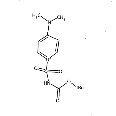 CN(C)c1cc[n+](S(=O)(=O)NC(=O)OC(C)(C)C)cc1